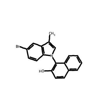 Cc1cn(-c2c(O)ccc3ccccc23)c2ccc(Br)cc12